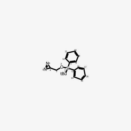 CC(C)(C)[Si](OCC1N=N1)(c1ccccc1)c1ccccc1